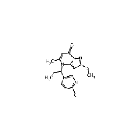 CCC(c1ccc(Cl)nc1)n1c(C)cc(=O)n2nc(SC)cc12